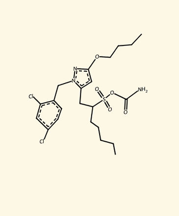 CCCCCC(Cc1cc(OCCCC)nn1Cc1ccc(Cl)cc1Cl)S(=O)(=O)OC(N)=O